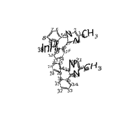 Cc1cnc2c3ccccc3c3ccccc3c2n1.Cc1cnc2c3ccccc3c3ccccc3c2n1.[InH3]